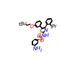 CC(C)c1ccccc1-c1nc(NS(=O)(=O)c2cccc(N)c2)sc1-c1cccc(OCCC(C)(C)C)c1